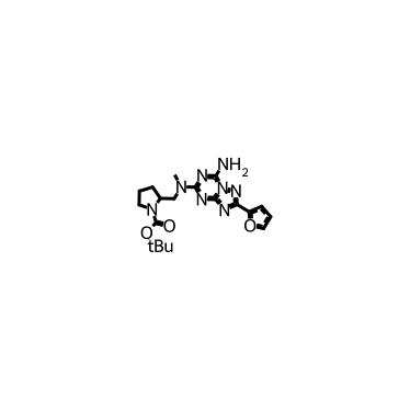 CN(CC1CCCN1C(=O)OC(C)(C)C)c1nc(N)n2nc(-c3ccco3)nc2n1